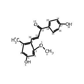 COc1cc(O)cc(C)c1C=CC(=O)c1ccc(O)cc1